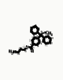 COC(c1ccccc1)(c1ccccc1)c1ccc(C(=O)NCCCN)cc1